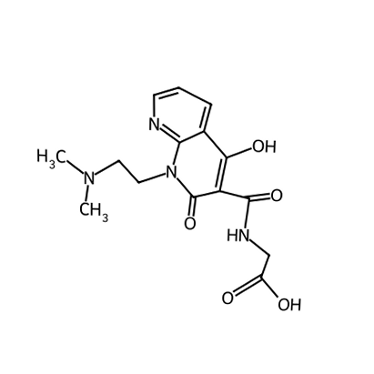 CN(C)CCn1c(=O)c(C(=O)NCC(=O)O)c(O)c2cccnc21